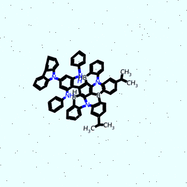 CC(C)c1ccc2c(c1)N1c3ccccc3Bc3c(-c4c(Nc5ccccc5)cc(-n5c6ccccc6c6ccccc65)cc4Nc4ccccc4)c4c5c(c31)B2c1ccc(C(C)C)cc1N5c1ccccc1B4